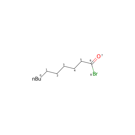 CCCCCCCCCC(=O)Br